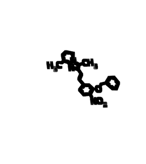 Cc1cccn2c(C)c(/C=C/c3ccc([N+](=O)[O-])c(OCc4ccccc4)c3)nc12